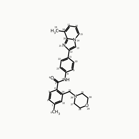 Cc1ccc(C(=O)Nc2ccc(-c3cn4cccc(C)c4n3)cc2)c(CN2CCOCC2)c1